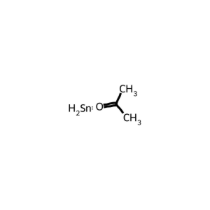 CC(C)=O.[SnH2]